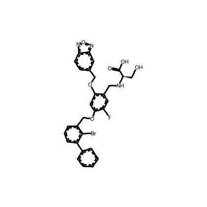 O=C(O)[C@@H](CO)NCc1cc(F)c(OCc2cccc(-c3ccccc3)c2Br)cc1OCc1ccc2nonc2c1